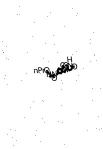 C=C(CCOCCC)C(=O)NCc1ccc2c(c1)CN(C1CCC(=O)NC1=O)C2=O